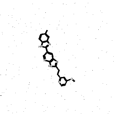 COc1ccnc(CCc2nc3cc(-c4nc5cc(C)ccc5[nH]4)cnc3[nH]2)c1